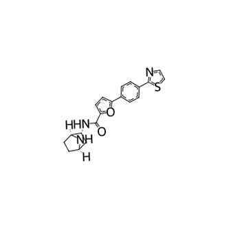 O=C(N[C@@H]1C[C@H]2CC[C@@H]1N2)c1ccc(-c2ccc(-c3nccs3)cc2)o1